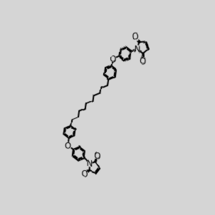 O=C1C=CC(=O)N1c1ccc(Oc2ccc(CCCCCCCCCCc3ccc(Oc4ccc(N5C(=O)C=CC5=O)cc4)cc3)cc2)cc1